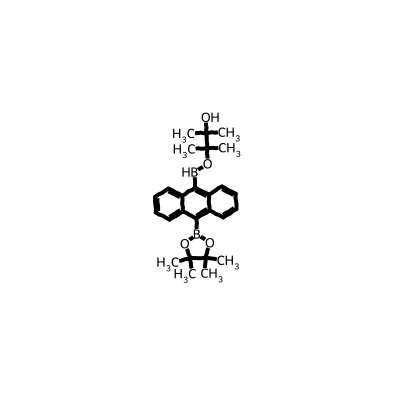 CC(C)(O)C(C)(C)OBc1c2ccccc2c(B2OC(C)(C)C(C)(C)O2)c2ccccc12